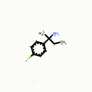 CCC(C)(N)c1ccc(F)cc1